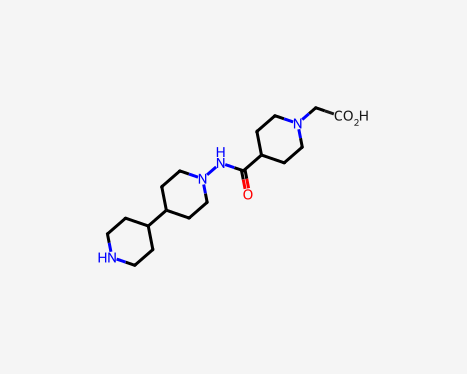 O=C(O)CN1CCC(C(=O)NN2CCC(C3CCNCC3)CC2)CC1